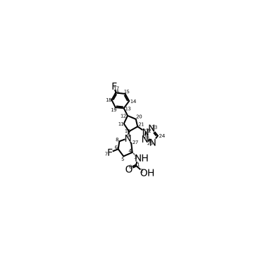 O=C(O)N[C@@H]1CC(F)CN(C2CC(c3ccc(F)cc3)CC2n2ncnn2)C1